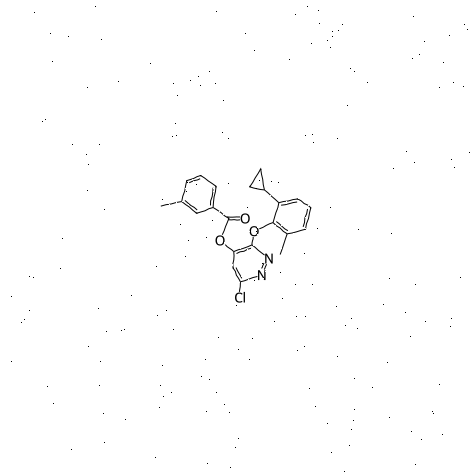 Cc1cccc(C(=O)Oc2cc(Cl)nnc2Oc2c(C)cccc2C2CC2)c1